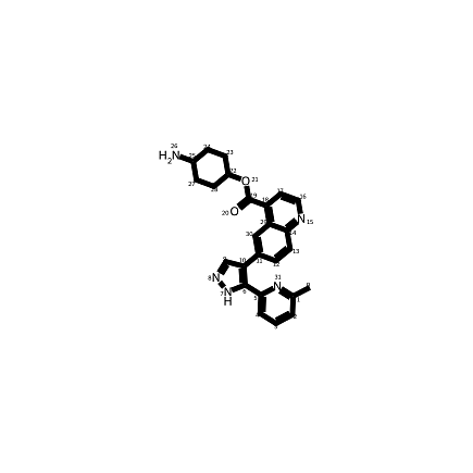 Cc1cccc(-c2[nH]ncc2-c2ccc3nccc(C(=O)OC4CCC(N)CC4)c3c2)n1